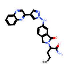 NC(=O)C(CCC=O)N1Cc2ccc(Nn3cc(-c4cnc5ccccc5n4)cn3)cc2C1=O